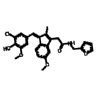 COc1ccc2c(c1)C(CC(=O)NCc1ccco1)=C(C)/C2=C/c1cc(Cl)c(O)c(OC)c1